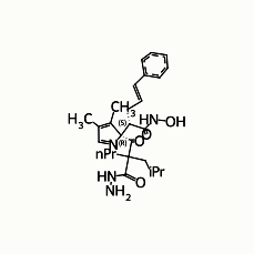 CCCC(CC(C)C)(C(=O)NN)C(=O)[C@]1([C@H](CC=Cc2ccccc2)C(=O)NO)N=CC(C)=C1C